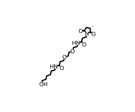 C[C@H]1CC(=O)N(CCC(=O)NCCOCCOCCC(=O)NCCCCCCO)C1=O